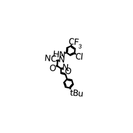 CC(C)(C)c1ccc(-c2cc(C(=O)C(C#N)=NNc3cc(Cl)cc(C(F)(F)F)c3)no2)cc1